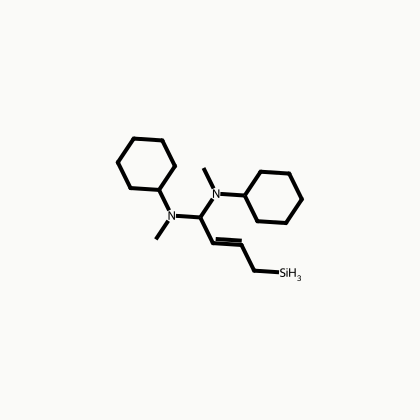 CN(C1CCCCC1)C(C=CC[SiH3])N(C)C1CCCCC1